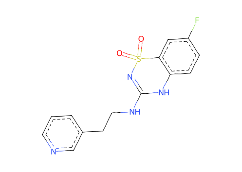 O=S1(=O)N=C(NCCc2cccnc2)Nc2ccc(F)cc21